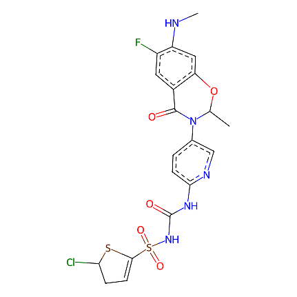 CNc1cc2c(cc1F)C(=O)N(c1ccc(NC(=O)NS(=O)(=O)C3=CCC(Cl)S3)nc1)C(C)O2